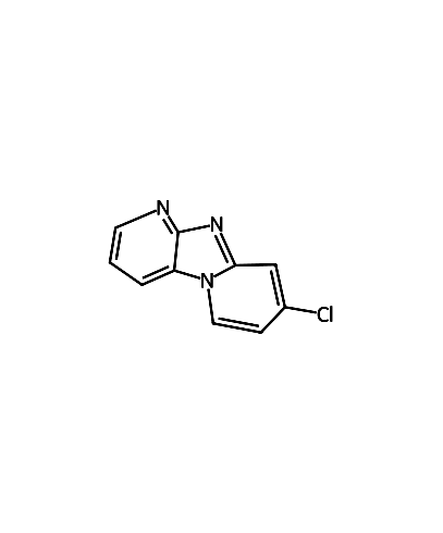 Clc1ccn2c(c1)nc1ncccc12